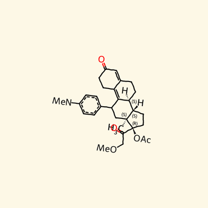 CNc1ccc(C2C[C@@]3(C)[C@@H](CC[C@]3(OC(C)=O)C(=O)COC)[C@@H]3CCC4=CC(=O)CCC4=C23)cc1